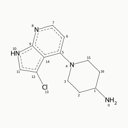 NC1CCN(c2ccnc3[nH]cc(Cl)c23)CC1